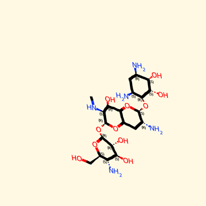 CN[C@@H]1[C@@H](O[C@H]2O[C@H](CO)[C@@H](N)[C@H](O)[C@H]2O)OC2C[C@@H](N)[C@@H](O[C@H]3[C@@H](O)[C@@H](O)[C@H](N)C[C@@H]3N)OC2[C@@H]1O